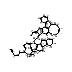 C#C\C=C/C=C1/C=C/C=C(N(C/C=C2\C(=C/C)Cc3c2cc2c(c3-c3ccccc3)C(C)CC/C=C\CC2)c2c(C)ccc3c2CC2=C3CCC=C2)\C=C(/C)C(C)(C)C1